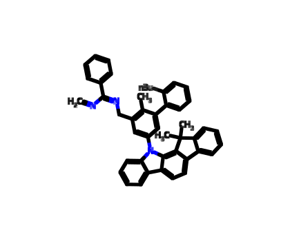 C=N/C(=N\Cc1cc(-n2c3ccccc3c3ccc4c(c32)C(C)(C)c2ccccc2-4)cc(-c2ccccc2CCCC)c1C)c1ccccc1